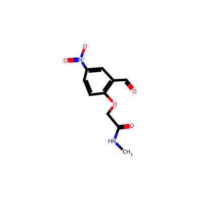 CNC(=O)COc1ccc([N+](=O)[O-])cc1C=O